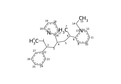 CCC(CC(CC(C)c1cccc[n+]1CC)c1ccccn1)c1ccccc1